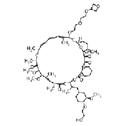 CO[C@@H]1/C(C)=C/[C@@H](C)C(=O)C[C@@H]([C@H](C)C[C@@H]2CC[C@@H](OCCO)[C@H](OC)C2)OC(=O)[C@@H]2CCCCN2C(=O)C(=O)[C@]2(O)O[C@@H](CC[C@H]2C)CC(OCCOCCOC2COC2)/C(C)=C/C=C/C=C/[C@@H](C)C[C@@H](C)C(=O)[C@@H]1OC